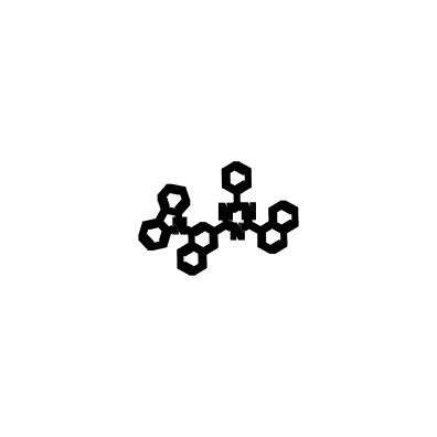 c1ccc(-c2nc(-c3cc(-n4c5ccccc5c5ccccc54)c4ccccc4c3)nc(-c3cccc4ccccc34)n2)cc1